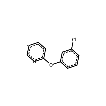 Clc1cccc(Oc2cc[c]cn2)c1